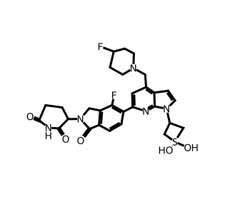 O=C1CCC(N2Cc3c(ccc(-c4cc(CN5CCC(F)CC5)c5ccn(C6CS(O)(O)C6)c5n4)c3F)C2=O)C(=O)N1